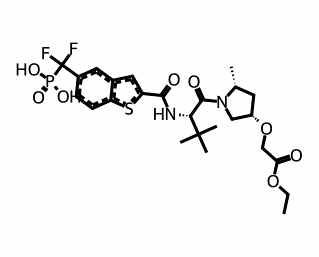 CCOC(=O)CO[C@H]1C[C@@H](C)N(C(=O)[C@@H](NC(=O)c2cc3cc(C(F)(F)P(=O)(O)O)ccc3s2)C(C)(C)C)C1